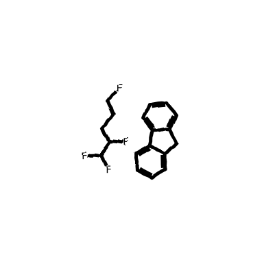 FCCCC(F)C(F)F.c1ccc2c(c1)Cc1ccccc1-2